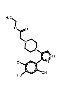 CCOC(=O)CN1CCN(c2c[nH]nc2-c2cc(Cl)c(O)cc2O)CC1